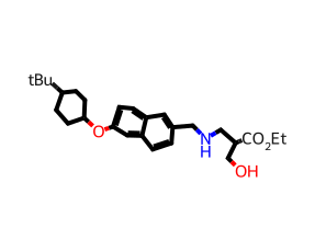 CCOC(=O)C(CO)CNCc1ccc2cc(OC3CCC(C(C)(C)C)CC3)ccc2c1